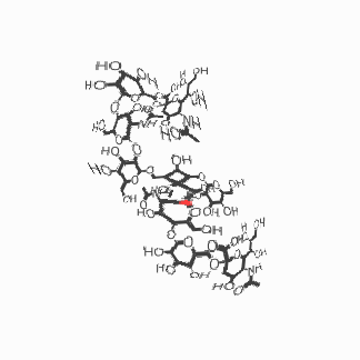 CC(=O)NC1C(O)[C@H](O[C@@H]2OC(CO[C@]3(C(=O)O)CC(O)[C@@H](NC(C)=O)C([C@H](O)[C@H](O)CO)O3)[C@H](O)C(O)C2O)C(CO)O[C@H]1OC1C(O)[C@H](O)C(CO)O[C@@H]1OC1[C@H](O)C(CO[C@H]2OC(CO)[C@@H](O)C(O)C2O[C@@H]2OC(CO)[C@@H](O[C@@H]3OC(CO[C@]4(C(=O)O)CC(O)[C@@H](NC(C)=O)C([C@H](O)[C@H](O)CO)O4)[C@H](O)C(O)C3O)C(O)C2NC(C)=O)C1(O)[C@H](C)O